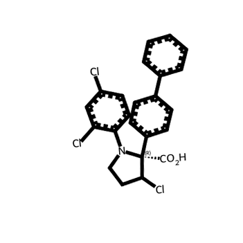 O=C(O)[C@]1(c2ccc(-c3ccccc3)cc2)C(Cl)CCN1c1ccc(Cl)cc1Cl